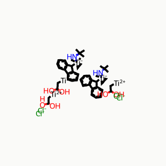 CC(C)(C)[NH][Ti-]1([CH3])([CH3])([CH]2c3ccccc3-c3ccccc32)[CH2][CH2]1.CC(C)(C)[NH][Ti-]1([CH3])([CH3])([CH]2c3ccccc3-c3ccccc32)[CH2][CH2]1.OC(O)[CH2][Ti+2].OC(O)[CH2][Ti+2].OC(O)[CH2][Ti+2].[Cl-].[Cl-].[Cl-].[Cl-]